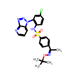 C/C(=N/OC(C)(C)C)c1ccc(S(=O)(=O)Nc2ccc(Cl)cc2-n2nnc3ncccc32)cc1